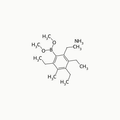 CCc1c(C)c(CC)c(B(OC)OC)c(CC)c1CC.N